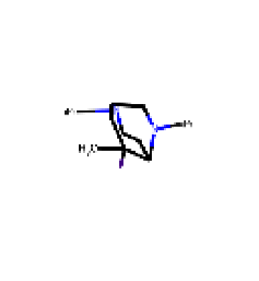 CC(C)N1CCC2N(C(C)C)CC1CC2(C)I